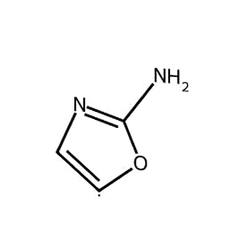 Nc1nc[c]o1